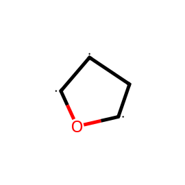 [CH]1[CH]O[CH]C1